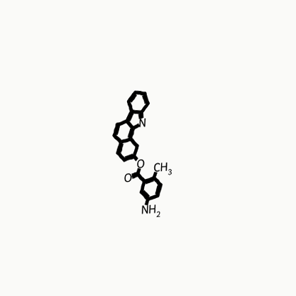 Cc1ccc(N)cc1C(=O)OC1=CC=c2ccc3c(c2C1)N=c1ccccc1=3